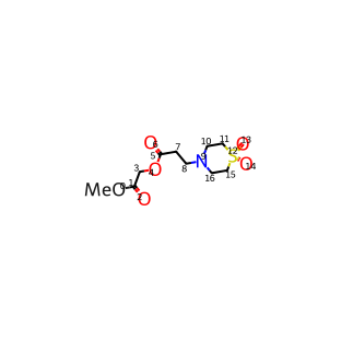 COC(=O)COC(=O)CCN1CCS(=O)(=O)CC1